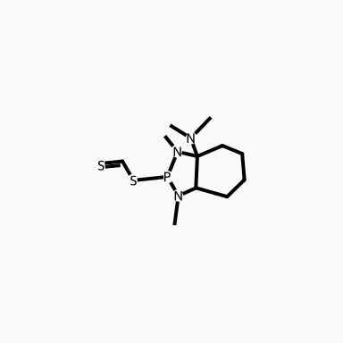 CN1C2CCCCC2(N(C)C)N(C)P1SC=S